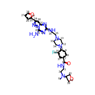 CN(CCNC(=O)c1ccc(N2CCN(CCNc3nc(N)n4nc(-c5ccco5)cc4n3)CC2)c(F)c1)C1COC1